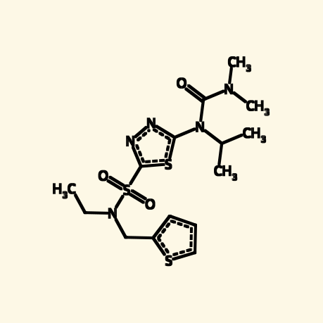 CCN(Cc1cccs1)S(=O)(=O)c1nnc(N(C(=O)N(C)C)C(C)C)s1